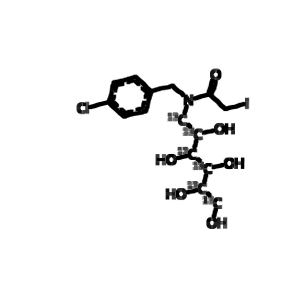 O=C(CI)N(Cc1ccc(Cl)cc1)[13CH2][13CH](O)[13CH](O)[13CH](O)[13CH](O)[13CH2]O